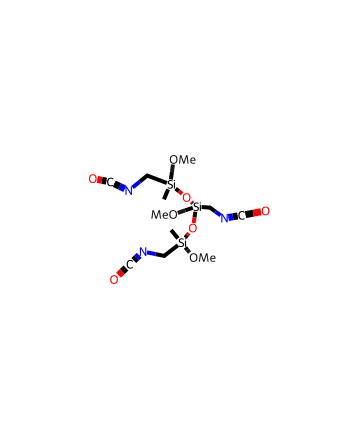 CO[Si](C)(CN=C=O)O[Si](CN=C=O)(OC)O[Si](C)(CN=C=O)OC